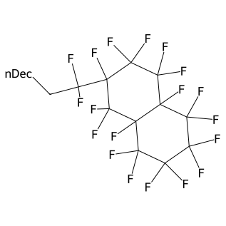 CCCCCCCCCCCC(F)(F)C1(F)C(F)(F)C(F)(F)C2(F)C(F)(F)C(F)(F)C(F)(F)C(F)(F)C2(F)C1(F)F